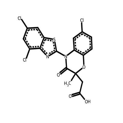 CC1(CC(=O)O)Oc2ccc(Cl)cc2N(c2nc3c(Cl)cc(Cl)cc3s2)C1=O